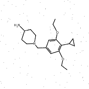 CCOc1cc(CN2CCC(N)CC2)cc(OCC)c1C1CC1